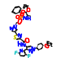 CCO[C@H]1CC[C@H](n2cc(NC(=O)c3csc(-c4cnn(COP(=O)(NC(C)C(=O)OC(C)C)Oc5ccccc5)c4)n3)c(-c3nc(F)ccc3F)n2)CC1